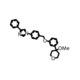 COC1(c2cccc(OCc3ccc(-n4cnc(-c5ccccc5)c4)cc3)c2)CCOCC1